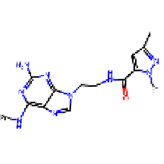 CCn1nc(C)cc1C(=O)NCCn1cnc2c(NC(C)C)nc(N)nc21